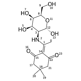 CC(N[C@H]1[C@@H](O)[C@@H](O)[C@@H](CO)O[C@@H]1O)=C1C(=O)CC(C)(C)CC1=O